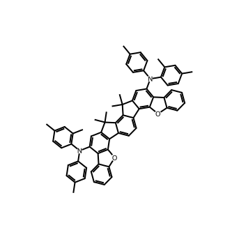 Cc1ccc(N(c2ccc(C)cc2C)c2cc3c(c4oc5ccccc5c24)-c2ccc4c(c2C3(C)C)C(C)(C)c2cc(N(c3ccc(C)cc3)c3ccc(C)cc3C)c3c(oc5ccccc53)c2-4)cc1